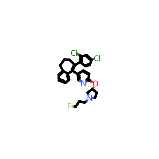 FCCCN1CC[C@H](Oc2ccc(C3=C(c4ccc(Cl)cc4Cl)CCCc4ccccc43)cn2)C1